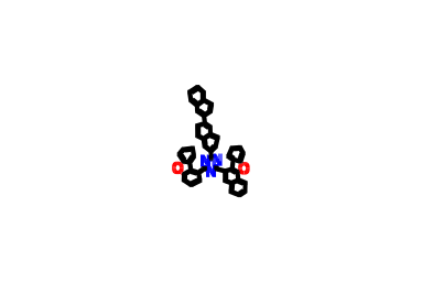 c1ccc2cc(-c3ccc4cc(-c5nc(-c6cccc7oc8ccccc8c67)nc(-c6cc7ccccc7c7oc8ccccc8c67)n5)ccc4c3)ccc2c1